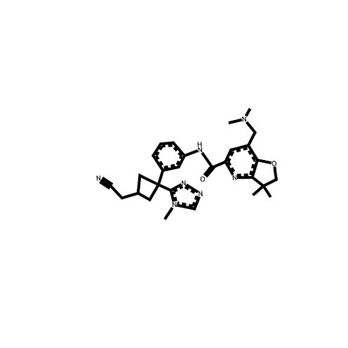 CN(C)Cc1cc(C(=O)Nc2cccc(C3(c4nncn4C)CC(CC#N)C3)c2)nc2c1OCC2(C)C